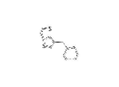 c1ccc(Cc2csc3ccsc23)cc1